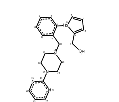 OCC1=CC=C[SH]1c1ccccc1CN1CCN(c2ncccn2)CC1